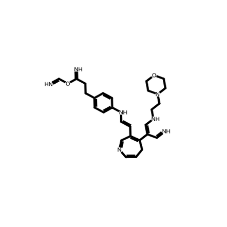 N=COC(=N)CCc1ccc(N/C=C/C2=C(C(/C=N)=C/NCCN3CCOCC3)CC=CN=C2)cc1